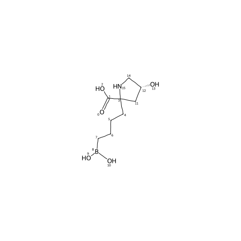 O=C(O)C1(CCCCB(O)O)C[C@@H](O)CN1